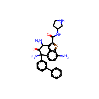 Nc1ccc2c3c(c(C(=O)NC4CCNC4)sc13)C(N)C(=O)C2(N)c1cccc(-c2ccccc2)c1